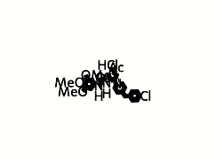 COc1cc(NC(=O)N[C@H]2CN(C(C)=O)C[C@@H]2N2CCC(Cc3ccc(Cl)cc3)CC2)cc(OC)c1OC.Cl